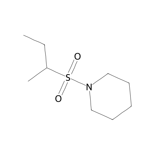 CCC(C)S(=O)(=O)N1CCCCC1